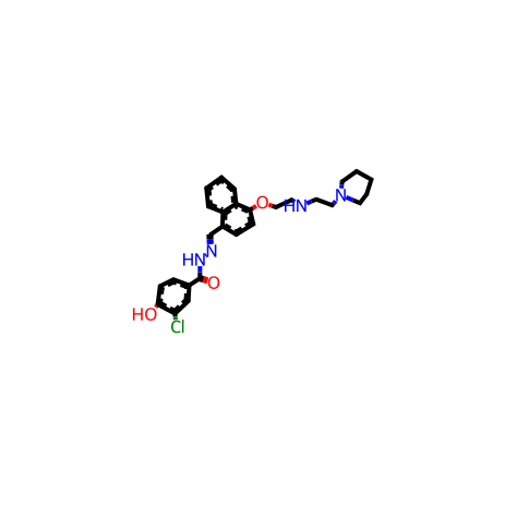 O=C(N/N=C/c1ccc(OCCNCCN2CCCCC2)c2ccccc12)c1ccc(O)c(Cl)c1